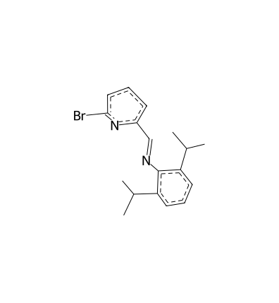 CC(C)c1cccc(C(C)C)c1/N=C/c1cccc(Br)n1